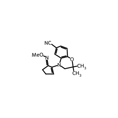 CO/N=C1\CCC=C1N1CC(C)(C)Oc2ccc(C#N)cc21